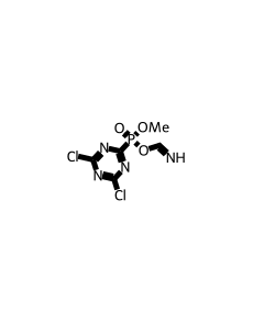 COP(=O)(OC=N)c1nc(Cl)nc(Cl)n1